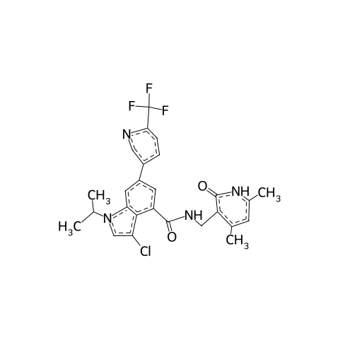 Cc1cc(C)c(CNC(=O)c2cc(-c3ccc(C(F)(F)F)nc3)cc3c2c(Cl)cn3C(C)C)c(=O)[nH]1